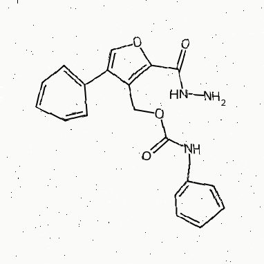 NNC(=O)c1occ(-c2ccccc2)c1COC(=O)Nc1ccccc1